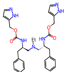 CCN(C[C@@H](Cc1ccccc1)NC(=O)OCc1ccn[nH]1)C[C@@H](Cc1ccccc1)NC(=O)OCc1ccn[nH]1